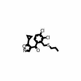 CCCSCc1c(C(=O)c2cnoc2C2CC2)ccc(Cl)c1Cl